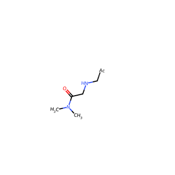 CC(=O)CNCC(=O)N(C)C